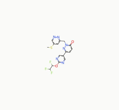 CSc1cnnc(Cn2nc(-c3cnc(OC(F)C(F)F)nc3)ccc2=O)c1